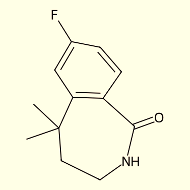 CC1(C)CCNC(=O)c2ccc(F)cc21